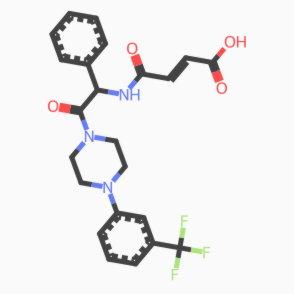 O=C(O)C=CC(=O)NC(C(=O)N1CCN(c2cccc(C(F)(F)F)c2)CC1)c1ccccc1